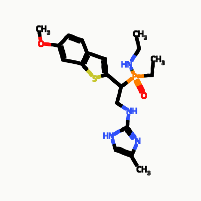 CCNP(=O)(CC)C(CNc1nc(C)c[nH]1)c1cc2ccc(OC)cc2s1